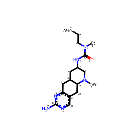 CCCN1CC(NC(=O)N(CC)CCNC)CC2Cc3nc(N)ncc3CC21